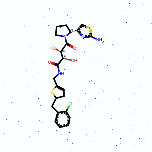 Nc1nc([C@H]2CCCN2C(=O)[C@H](O)[C@@H](O)C(=O)NCC2=CCC(Cc3ccccc3Cl)S2)cs1